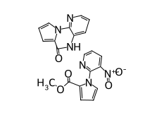 COC(=O)c1cccn1-c1ncccc1[N+](=O)[O-].O=c1[nH]c2cccnc2n2cccc12